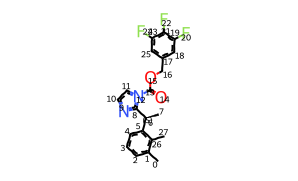 Cc1cccc([C@H](C)c2nccn2C(=O)OCc2cc(F)c(F)c(F)c2)c1C